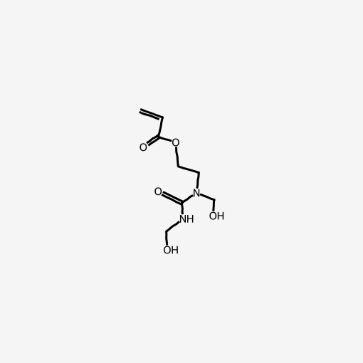 C=CC(=O)OCCN(CO)C(=O)NCO